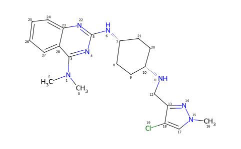 CN(C)c1nc(N[C@H]2CC[C@@H](NCc3nn(C)cc3Cl)CC2)nc2ccccc12